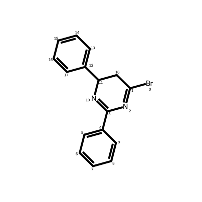 BrC1=NC(c2ccccc2)=NC(c2ccccc2)C1